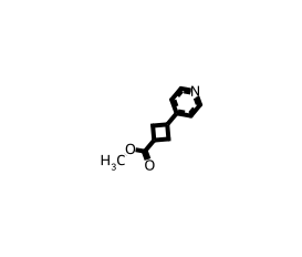 COC(=O)C1CC(c2ccncc2)C1